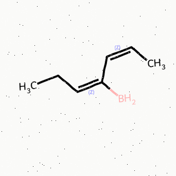 BC(/C=C\C)=C/CC